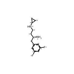 N[C@@H]([CH]c1cc(F)cc(F)c1)CCNC1CC1